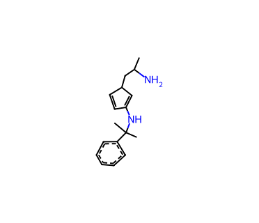 CC(N)CC1C=CC(NC(C)(C)c2ccccc2)=C1